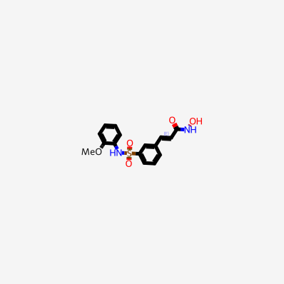 COc1ccccc1NS(=O)(=O)c1cccc(/C=C/C(=O)NO)c1